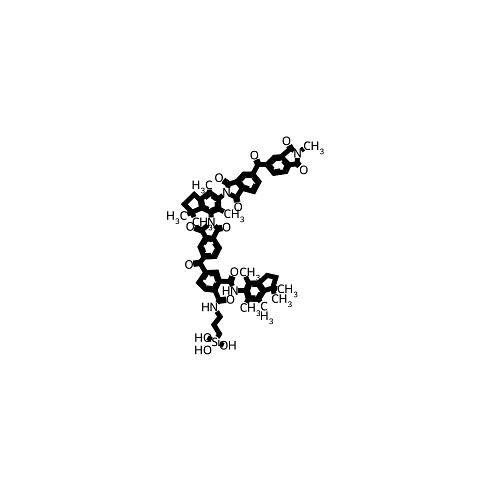 Cc1c(C)c2c(c(C)c1NC(=O)c1cc(C(=O)c3ccc4c(c3)C(=O)N(c3c(C)c(N5C(=O)c6ccc(C(=O)c7ccc8c(c7)C(=O)N(C)C8=O)cc6C5=O)c(C)c5c3C(C)(C)CC5)C4=O)ccc1C(=O)NCCC[Si](O)(O)O)CCC2(C)C